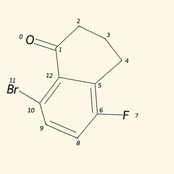 O=C1CCCc2c(F)ccc(Br)c21